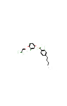 CCCCCc1ccc(C(F)(F)Oc2cc(F)c(O/C=C/C(F)F)c(Cl)c2)c(F)c1